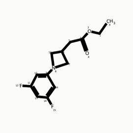 CCOC(=O)CC1CN(c2cc(F)cc(F)c2)C1